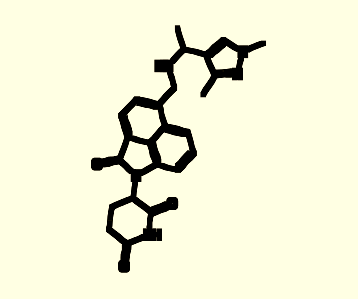 Cc1nn(C)cc1C(C)NCc1ccc2c3c(cccc13)N(C1CCC(=O)NC1=O)C2=O